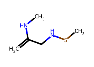 C=C(CNSC)NC